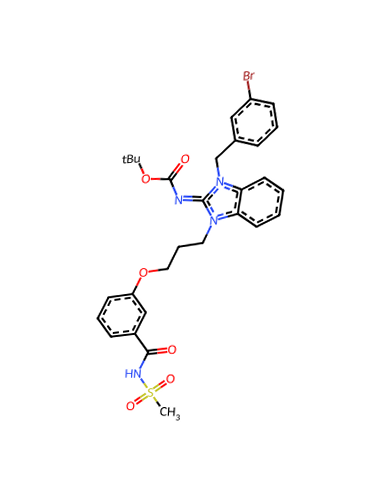 CC(C)(C)OC(=O)/N=c1/n(CCCOc2cccc(C(=O)NS(C)(=O)=O)c2)c2ccccc2n1Cc1cccc(Br)c1